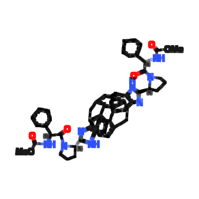 COC(=O)N[C@H](C(=O)N1CCC[C@H]1c1nc2cc(-c3cc4ccc3CCc3ccc(c(-c5ccc6[nH]c([C@@H]7CCCN7C(=O)[C@@H](NC(=O)OC)c7ccccc7)nc6c5)c3)CC4)ccc2[nH]1)c1ccccc1